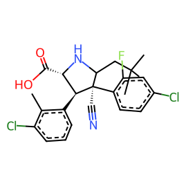 Cc1c(Cl)cccc1[C@H]1[C@H](C(=O)O)NC(CC(C)(C)C)[C@@]1(C#N)c1ccc(Cl)cc1F